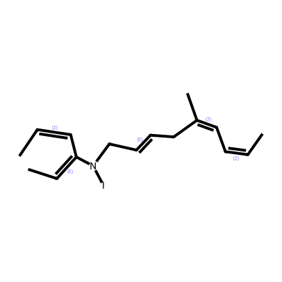 C/C=C\C=C(\C)C/C=C/CN(I)C(/C=C\C)=C/C